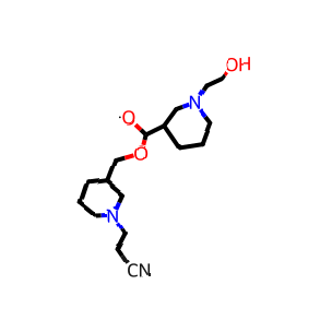 N#CCCN1CCCC(COC([O])C2CCCN(CCO)C2)C1